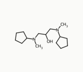 CN(CC(O)CN(C)C1CCCC1)C1CCCC1